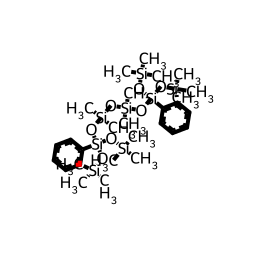 C[Si](C)(C)O[Si](O[Si](C)(C)C)(O[Si](C)(C)O[Si](C)(C)O[Si](O[Si](C)(C)C)(O[Si](C)(C)C)c1ccccc1)c1ccccc1